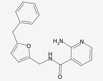 Nc1ncccc1C(=O)NCc1ccc(Cc2ccccc2)o1